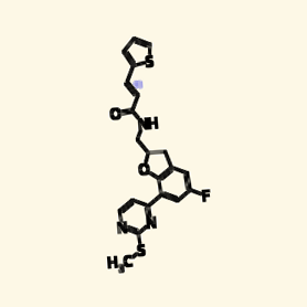 CSc1nccc(-c2cc(F)cc3c2OC(CNC(=O)/C=C/c2cccs2)C3)n1